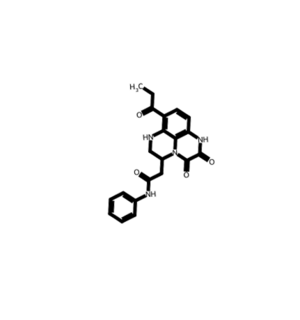 CCC(=O)c1ccc2[nH]c(=O)c(=O)n3c2c1NCC3CC(=O)Nc1ccccc1